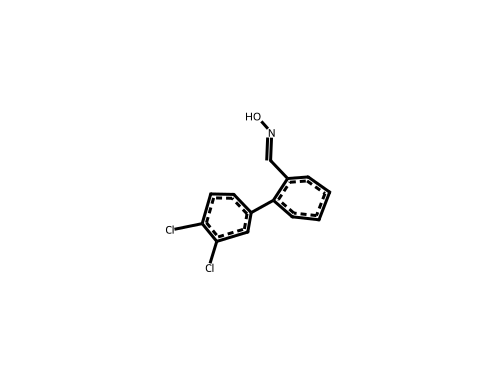 ON=Cc1ccccc1-c1ccc(Cl)c(Cl)c1